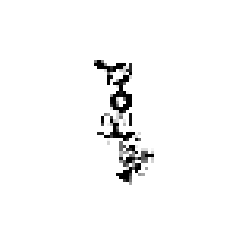 C#Cc1cncc(-c2ccc(NC(=O)C(CC)c3csc(NS(=O)(=O)C4CC4)n3)cc2)n1